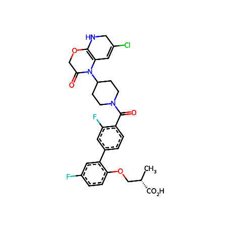 C[C@@H](COc1ccc(F)cc1-c1ccc(C(=O)N2CCC(N3C(=O)COC4=C3C=C(Cl)CN4)CC2)c(F)c1)C(=O)O